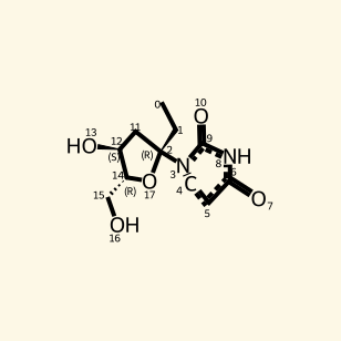 CC[C@]1(n2ccc(=O)[nH]c2=O)C[C@H](O)[C@@H](CO)O1